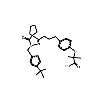 CC(C)(Oc1ccc(CCCC2=NN(Cc3ccc(C(C)(C)C)cc3)C(=O)C23CCCC3)cc1)C(=O)O